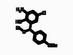 CCOC(c1ccc(OC)cc1)c1cc(Cl)cc(N)c1O